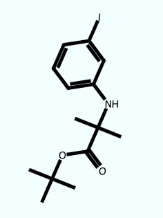 CC(C)(C)OC(=O)C(C)(C)Nc1cccc(I)c1